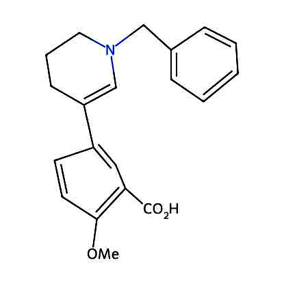 COc1ccc(C2=CN(Cc3ccccc3)CCC2)cc1C(=O)O